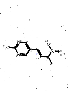 CC(/C=C/c1cnc(C(F)(F)F)nc1)[S+](N)[O-]